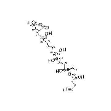 CCCCCCCCCCCC[C@@H](O)[C@H]1CC[C@H]([C@H](O)CCC[C@H](O)[C@@H](O)CCCCC[C@@H](O)CC2=C[C@H](C)OC2=O)O1